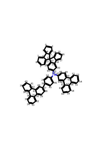 c1ccc2c(c1)-c1ccccc1C21c2ccccc2-c2cc(N(c3ccc(-c4ccc5c6ccccc6c6ccccc6c5c4)cc3)c3ccc4c5ccccc5c5ccccc5c4c3)ccc21